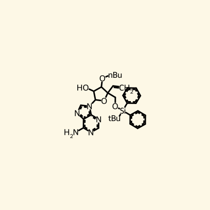 C=CC1(CO[Si](c2ccccc2)(c2ccccc2)C(C)(C)C)OC(n2cnc3c(N)ncnc32)C(O)C1OCCCC